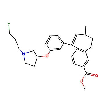 COC(=O)c1ccc2c(c1)CCC(C)C=C2c1cccc(OC2CCN(CCCF)C2)c1